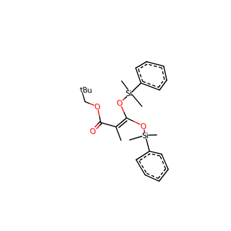 CC(C(=O)OCC(C)(C)C)=C(O[Si](C)(C)c1ccccc1)O[Si](C)(C)c1ccccc1